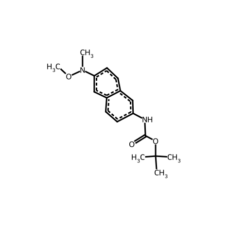 CON(C)c1ccc2cc(NC(=O)OC(C)(C)C)ccc2c1